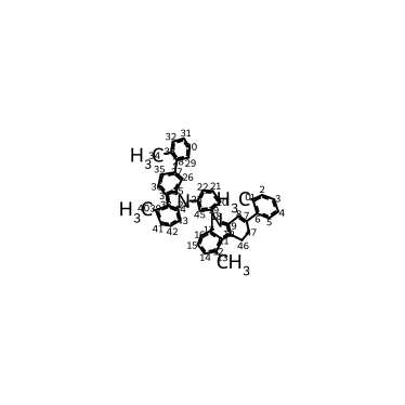 Cc1ccccc1C1=Cc2c(c3c(C)cccc3n2-c2cccc(-n3c4cc(-c5ccccc5C)ccc4c4c(C)cccc43)c2)CC1